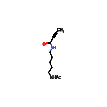 CC#CC(=O)NCCCCCNC(C)=O